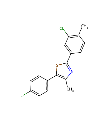 Cc1ccc(-c2nc(C)c(-c3ccc(F)cc3)s2)cc1Cl